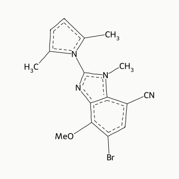 COc1c(Br)cc(C#N)c2c1nc(-n1c(C)ccc1C)n2C